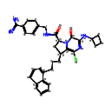 N=C(N)c1ccc(CNC(=O)[C@@H]2C[C@H](CCCc3cccc4ccccc34)c3c(Cl)nc(NC4CCC4)c(=O)n32)cc1